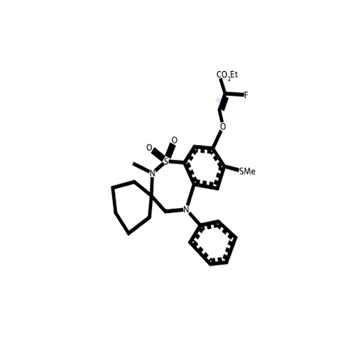 CCOC(=O)/C(F)=C/Oc1cc2c(cc1SC)N(c1ccccc1)CC1(CCCCC1)N(C)S2(=O)=O